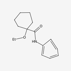 CCOC1(C(=O)Nc2ccccc2)CCCCC1